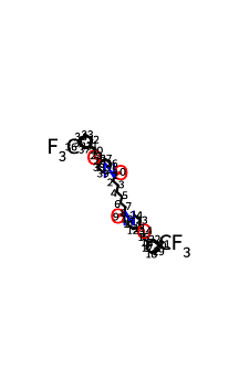 O=C(CCCCCCC(=O)N1CCC(OCc2cccc(C(F)(F)F)c2)CC1)N1CCC(OCc2cccc(C(F)(F)F)c2)CC1